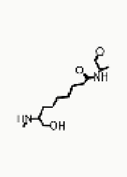 CNC(CO)CCCCCCC(=O)NC(C)C=O